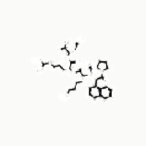 C#CC[C@H](NC(=O)[C@H](CCCNC(=N)N)NC(=O)[C@H](CCCCN)NC(=O)[C@@H]1CCCN1C(=O)Cc1cccc2ccccc12)C(N)=O